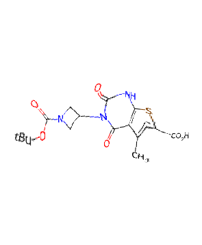 Cc1c(C(=O)O)sc2[nH]c(=O)n(C3CN(C(=O)OC(C)(C)C)C3)c(=O)c12